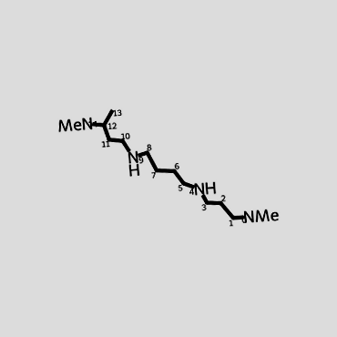 CNCCCNCCCCNCCC(C)NC